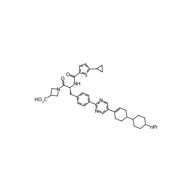 CCCC1CCC(C2CC=C(c3cnc(-c4ccc(C[C@H](NC(=O)c5ccc(C6CC6)s5)C(=O)N5CC(C(=O)O)C5)cc4)nc3)CC2)CC1